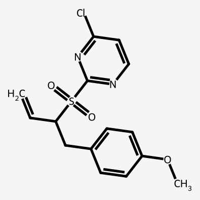 C=CC(Cc1ccc(OC)cc1)S(=O)(=O)c1nccc(Cl)n1